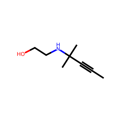 CC#CC(C)(C)NCCO